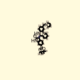 CC1(C)OB(c2ccc3c(c2)NC(=O)/C3=C(\Nc2ccc(CN3CCCC3)cc2)c2ccccn2)OC1(C)C